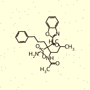 CC(=O)NC(CC(C)C)C(CCCc1ccccc1)(C(=O)c1nc2ccccc2o1)S(N)(=O)=O